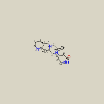 CCc1ncccc1CN1CCN(c2cc[nH]c(=O)c2)[C@H](CC)C1